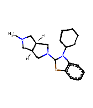 CN1C[C@@H]2CN(C3Sc4ccccc4N3C3CCCCC3)C[C@@H]2C1